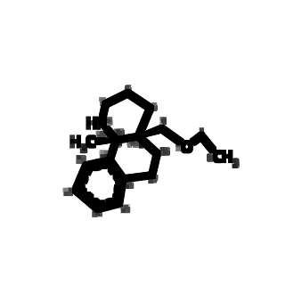 CCOC[C@]12CCCN[C@@]1(C)c1ccccc1CC2